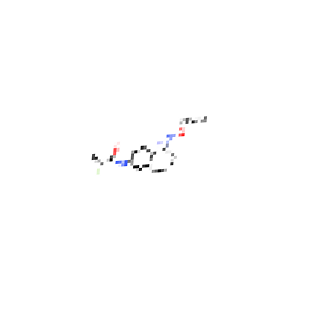 C=C(F)C(=O)Nc1ccc2c(c1)CCC/C2=N\OCCCCC